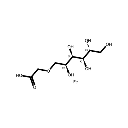 O=C(O)COC[C@H](O)[C@@H](O)[C@H](O)[C@H](O)CO.[Fe]